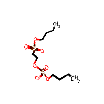 CCCCOS(=O)(=O)CCOS(=O)(=O)OCCCC